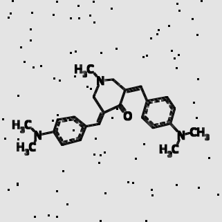 CN1CC(=Cc2ccc(N(C)C)cc2)C(=O)C(=Cc2ccc(N(C)C)cc2)C1